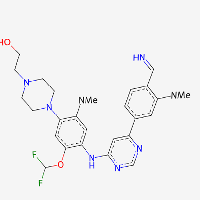 CNc1cc(-c2cc(Nc3cc(NC)c(N4CCN(CCO)CC4)cc3OC(F)F)ncn2)ccc1C=N